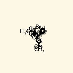 COC(=O)[C@@H]1CCN(C(=O)[C@H](Cc2cccc(Br)c2)NC(=O)OC(C)(C)C)C1